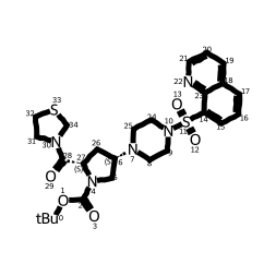 CC(C)(C)OC(=O)N1C[C@@H](N2CCN(S(=O)(=O)c3cccc4cccnc34)CC2)C[C@H]1C(=O)N1CCSC1